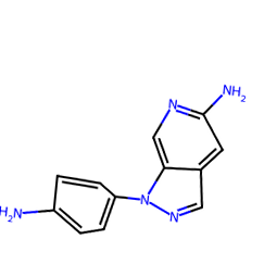 Nc1ccc(-n2ncc3cc(N)ncc32)cc1